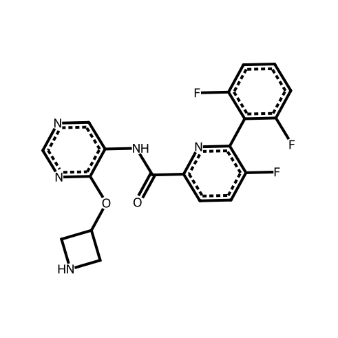 O=C(Nc1cncnc1OC1CNC1)c1ccc(F)c(-c2c(F)cccc2F)n1